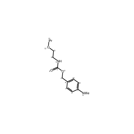 CNc1ccc(COC(=O)NCCOC(C)C)cc1